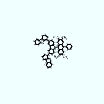 Cc1cc2c(-c3ccccc3)c3cc(C)c(C)cc3c(-n3c4ccc(-c5cccc6c5sc5ccccc56)cc4c4cc(-c5cccc6c5sc5ccccc56)ccc43)c2cc1C